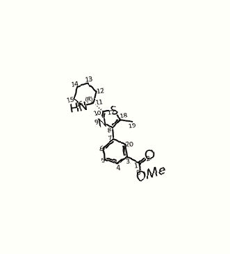 COC(=O)c1cccc(-c2nc([C@H]3CCCCN3)sc2C)c1